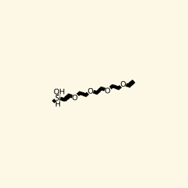 C=COCCOCCOCCOC=C[SiH](C)O